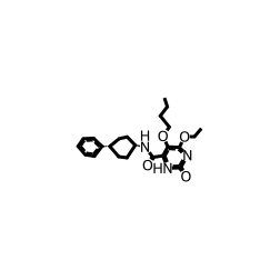 CCCCOc1c(OCC)nc(=O)[nH]c1C(=O)N[C@H]1CC[C@@H](c2ccccc2)CC1